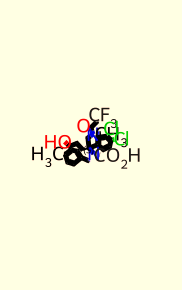 Cc1ccc(CN(C(=O)O)[C@](CCCO)(CN(C)C(=O)CC(F)(F)F)c2ccc(Cl)c(Cl)c2)cc1